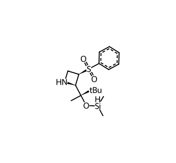 C[SiH](C)O[C@](C)([C@H]1NC[C@H]1S(=O)(=O)c1ccccc1)C(C)(C)C